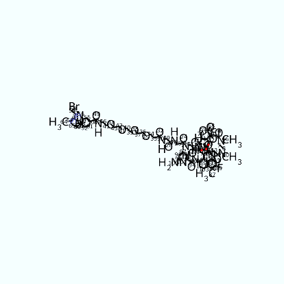 CC[C@]1(OC(=O)N(C)CCN(C)C(=O)CNC(=O)CNC(=O)CNC(=O)CNC(=O)CNC(=O)CCOCCOCCOCCOCCNC(=O)c2ccc3c(c2)/N=C(CBr)\C(CBr)=C(/C)CC3)C(=O)OCc2c1cc1n(c2=O)Cc2c-1nc1cc(F)c(C)c3c1c2[C@H](NC(=O)c1cccc(N)n1)CC3